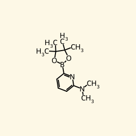 CN(C)c1cccc(B2OC(C)(C)C(C)(C)O2)n1